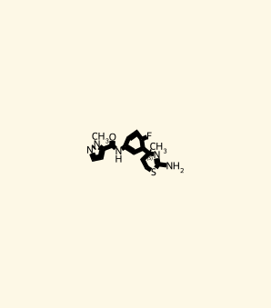 Cn1nccc1C(=O)NC1=CC([C@]2(C)CCSC(N)=N2)C(F)C=C1